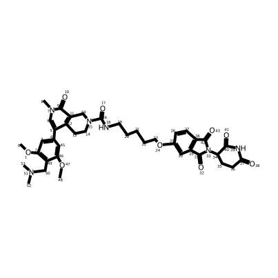 COc1cc(-c2cn(C)c(=O)c3c2CCN(C(=O)NCCCCCOc2ccc4c(c2)C(=O)N(C2CCC(=O)NC2=O)C4=O)C3)cc(OC)c1CN(C)C